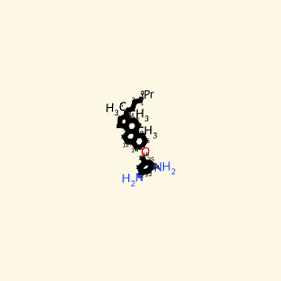 CC(C)CCCC(C)C1CCC2C3CC=C4CC(OCc5cc(N)cc(N)c5)CCC4(C)C3CCC12C